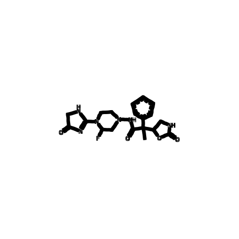 CC(C(=O)NN1CCN(C2=NC(=O)CN2)C(F)C1)(c1ccccc1)C1CNC(=O)O1